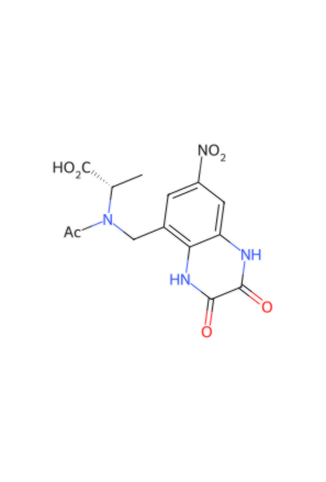 CC(=O)N(Cc1cc([N+](=O)[O-])cc2[nH]c(=O)c(=O)[nH]c12)[C@@H](C)C(=O)O